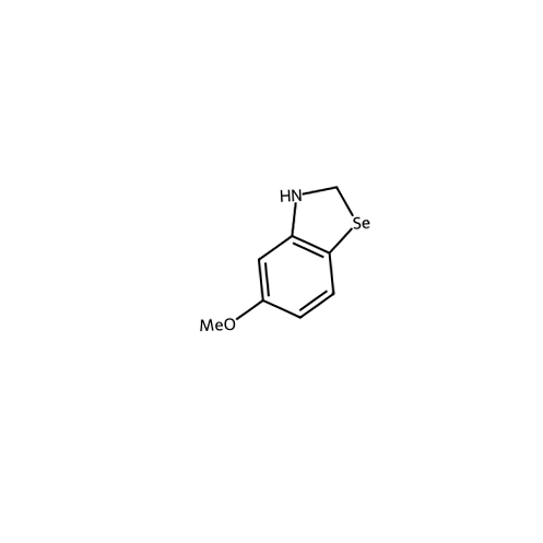 COc1ccc2c(c1)NC[Se]2